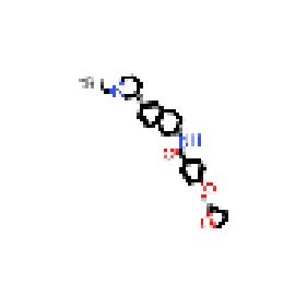 CC(C)(C)CN1CCC[C@@H](c2ccc3c(c2)CC[C@H](NC(=O)c2ccc(OC[C@@H]4CCCO4)cc2)C3)C1